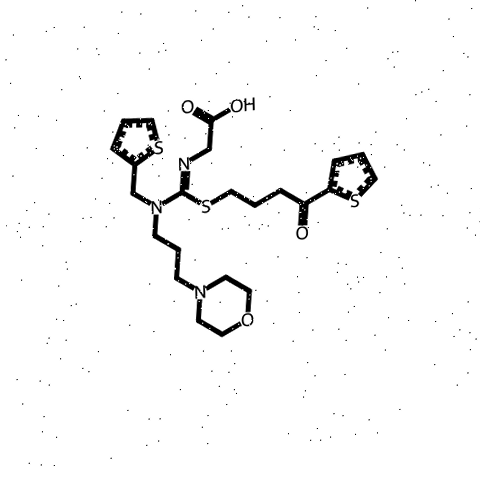 O=C(O)C/N=C(\SCCCC(=O)c1cccs1)N(CCCN1CCOCC1)Cc1cccs1